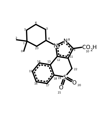 CC1(C)CCCC(n2nc(C(=O)O)c3c2-c2ccccc2S(=O)(=O)C3)C1